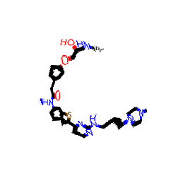 CC(C)NCC(O)COc1ccc(CC(=O)Nc2ccc3cc(-c4ccnc(NCCCN5CCN(C)CC5)n4)sc3c2)cc1